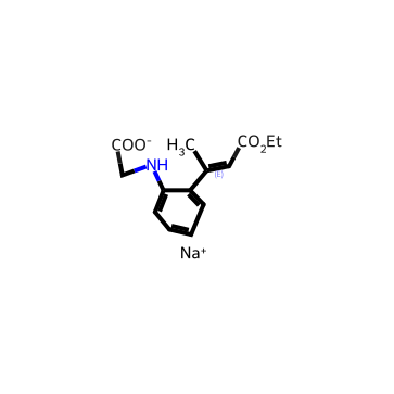 CCOC(=O)/C=C(\C)c1ccccc1NCC(=O)[O-].[Na+]